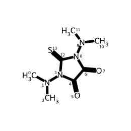 CN(C)N1C(=O)C(=O)N(N(C)C)C1=S